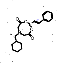 C[C@@H](C1CCCCC1)N1CC(=O)OB(/C=C/c2ccccc2)OC(=O)C1